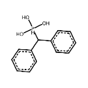 O[PH](O)(O)C(c1ccccc1)c1ccccc1